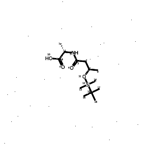 CC(CC(=O)N[C@@H](C)C(=O)O)O[Si](C)(C)C(C)(C)C